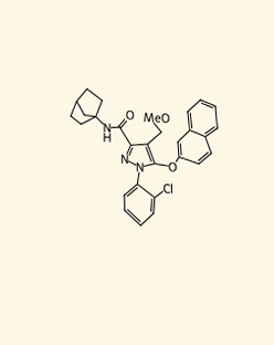 COCc1c(C(=O)NC23CCC(CC2)C3)nn(-c2ccccc2Cl)c1Oc1ccc2ccccc2c1